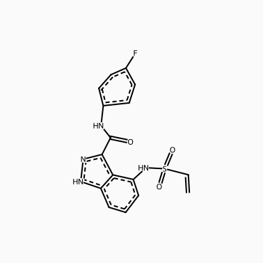 C=CS(=O)(=O)Nc1cccc2[nH]nc(C(=O)Nc3ccc(F)cc3)c12